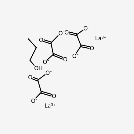 CCCO.O=C([O-])C(=O)[O-].O=C([O-])C(=O)[O-].O=C([O-])C(=O)[O-].[La+3].[La+3]